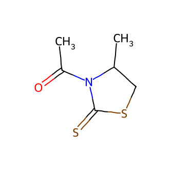 CC(=O)N1C(=S)SCC1C